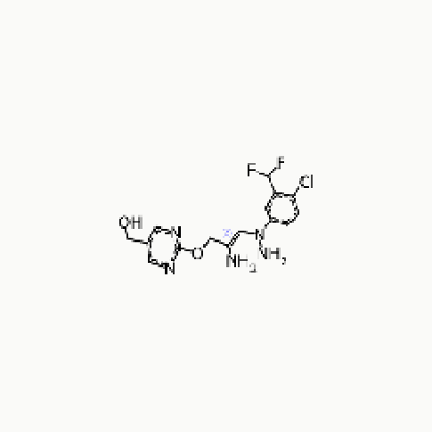 N/C(=C\N(N)c1ccc(Cl)c(C(F)F)c1)COc1ncc(CO)cn1